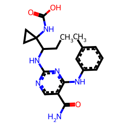 CCC(Nc1ncc(C(N)=O)c(Nc2cccc(C)c2)n1)C1(NC(=O)O)CC1